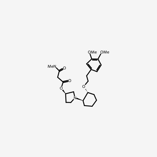 CNC(=O)CC(=O)O[C@@H]1CCN([C@@H]2CCCC[C@H]2OCCc2ccc(OC)c(OC)c2)C1